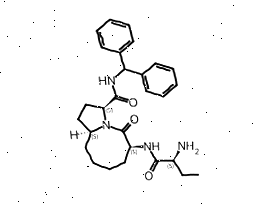 CC[C@H](N)C(=O)N[C@H]1CCCC[C@H]2CC[C@@H](C(=O)NC(c3ccccc3)c3ccccc3)N2C1=O